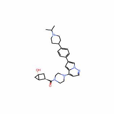 CC(C)N1CCC(c2ccc(-c3cc4c(N5CCN(C(=O)[C@@H]6C[C@]7(O)CC67)CC5)ccnn4c3)cc2)CC1